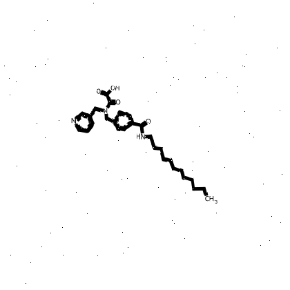 CCCCCCCCCCCCNC(=O)c1ccc(CN(Cc2cccnc2)C(=O)C(=O)O)cc1